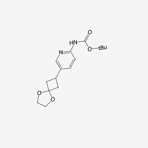 CC(C)(C)OC(=O)Nc1ccc(C2CC3(C2)OCCO3)cn1